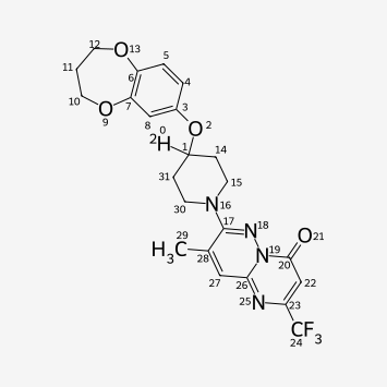 [2H]C1(Oc2ccc3c(c2)OCCCO3)CCN(c2nn3c(=O)cc(C(F)(F)F)nc3cc2C)CC1